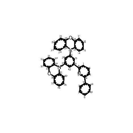 c1ccc(-c2cccc(-c3cc(N4c5ccccc5Oc5ccccc54)cc(N4c5ccccc5Oc5ccccc54)c3)n2)cc1